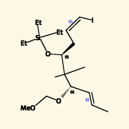 C/C=C/[C@H](OCOC)C(C)(C)[C@H](C/C=C\I)O[Si](CC)(CC)CC